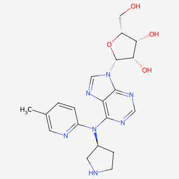 Cc1ccc(N(c2ncnc3c2ncn3[C@@H]2O[C@H](CO)[C@H](O)[C@@H]2O)[C@H]2CCNC2)nc1